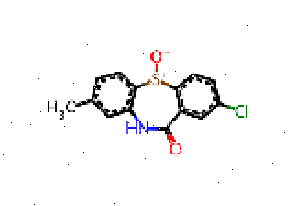 Cc1ccc2c(c1)NC(=O)c1cc(Cl)ccc1[S+]2[O-]